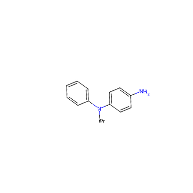 CC(C)N(c1ccccc1)c1ccc(N)cc1